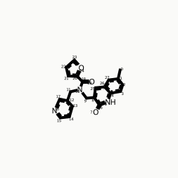 Cc1ccc2[nH]c(=O)c(CN(Cc3cccnc3)C(=O)c3ccco3)cc2c1